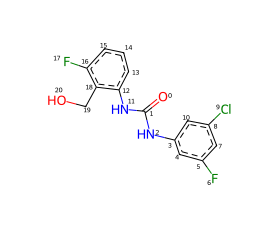 O=C(Nc1cc(F)cc(Cl)c1)Nc1cccc(F)c1CO